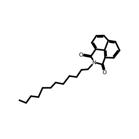 CCCCCCCCCCCCN1C(=O)c2cccc3cccc(c23)C1=O